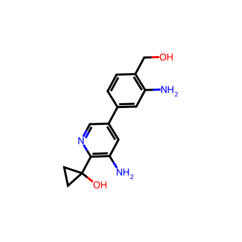 Nc1cc(-c2cnc(C3(O)CC3)c(N)c2)ccc1CO